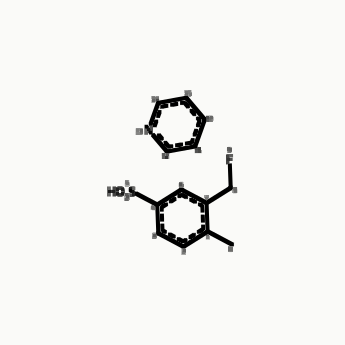 Cc1ccc(S(=O)(=O)O)cc1CF.c1ccncc1